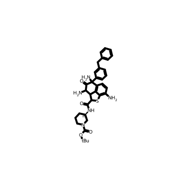 CC(C)(C)OC(=O)N1CCC[C@@H](NC(=O)C2Sc3c(N)ccc4c3C2C(N)C(=O)C4(N)c2cccc(Cc3ccccc3)c2)C1